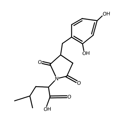 CC(C)CC(C(=O)O)N1C(=O)CC(Cc2ccc(O)cc2O)C1=O